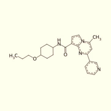 CCCOC1CCC(NC(=O)c2ccn3c(C)cc(-c4cccnc4)nc23)CC1